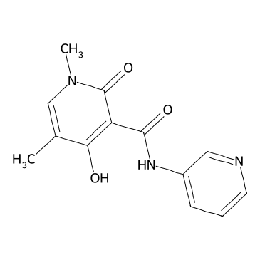 Cc1cn(C)c(=O)c(C(=O)Nc2cccnc2)c1O